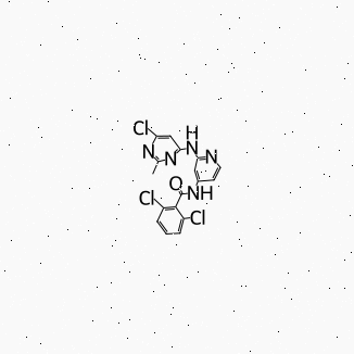 Cc1nc(Cl)cc(Nc2cc(NC(=O)c3c(Cl)cccc3Cl)ccn2)n1